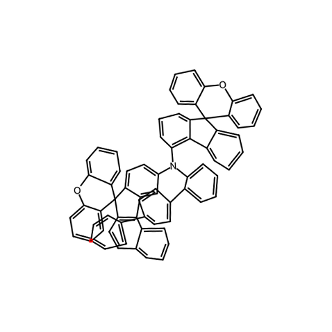 c1ccc(-c2ccc(-c3ccccc3N(c3ccc4c(c3)-c3c(ccc5ccccc35)C43c4ccccc4Oc4ccccc43)c3cccc4c3-c3ccccc3C43c4ccccc4Oc4ccccc43)cc2)cc1